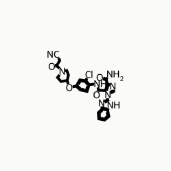 N#CCC(=O)N1CCC(Oc2ccc(NC(=O)c3c(C(N)=O)ncn3-c3nc4ccccc4[nH]3)c(Cl)c2)CC1